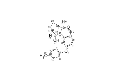 CCc1ccc(Oc2ccc(C)cc2)cc1C1=C(O)[C@H]2CC[C@H](C2)C1=O